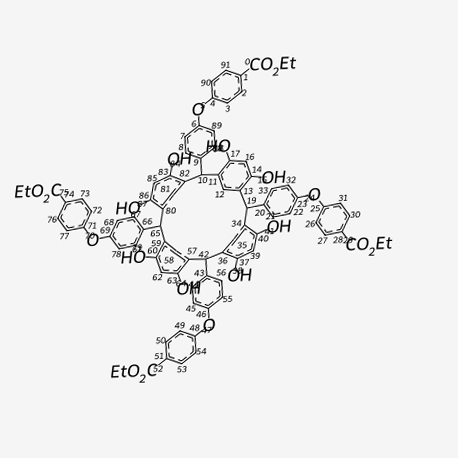 CCOC(=O)c1ccc(Oc2ccc(C3c4cc(c(O)cc4O)C(c4ccc(Oc5ccc(C(=O)OCC)cc5)cc4)c4cc(c(O)cc4O)C(c4ccc(Oc5ccc(C(=O)OCC)cc5)cc4)c4cc(c(O)cc4O)C(c4ccc(Oc5ccc(C(=O)OCC)cc5)cc4)c4cc3c(O)cc4O)cc2)cc1